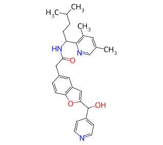 Cc1cnc(C(CCC(C)C)NC(=O)Cc2ccc3oc(C(O)c4ccncc4)cc3c2)c(C)c1